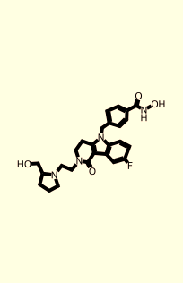 O=C(NO)c1ccc(Cn2c3c(c4cc(F)ccc42)C(=O)N(CCN2CCCC2CO)CC3)cc1